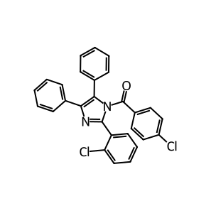 O=C(c1ccc(Cl)cc1)n1c(-c2ccccc2Cl)nc(-c2ccccc2)c1-c1ccccc1